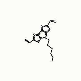 C=Cc1cc2c(s1)c1sc(C=O)cc1n2CCCCCC